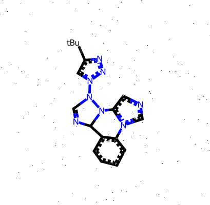 CC(C)(C)c1cn(N2C=NC3c4ccccc4-n4cncc4N32)nn1